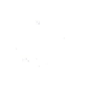 COc1cccc(Cl)c1C1Cc2c(ccn2C)C2C(=O)NC(=O)C12